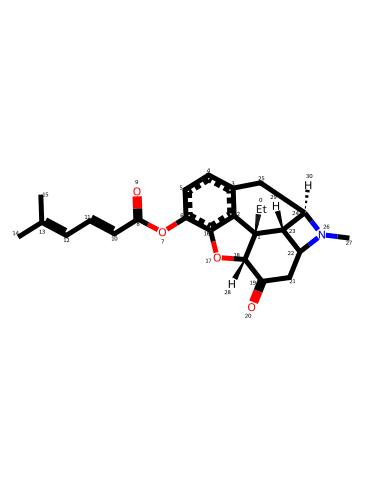 CC[C@]12c3c4ccc(OC(=O)/C=C/C=C(C)C)c3O[C@H]1C(=O)CC1[C@H]2[C@@H](C4)N1C